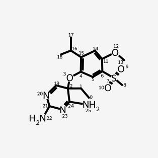 CCC1(Oc2cc(S(C)(=O)=O)c(OC)cc2C(C)C)C=NC(N)N=C1N